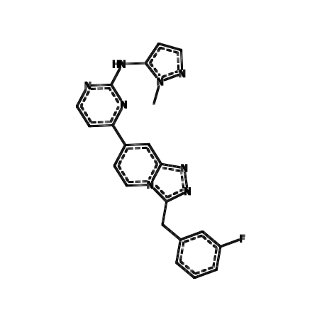 Cn1nccc1Nc1nccc(-c2ccn3c(Cc4cccc(F)c4)nnc3c2)n1